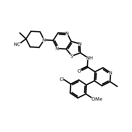 COc1ccc(Cl)cc1-c1cc(C)ncc1C(=O)Nc1nc2ncc(N3CCC(C)(C#N)CC3)nc2s1